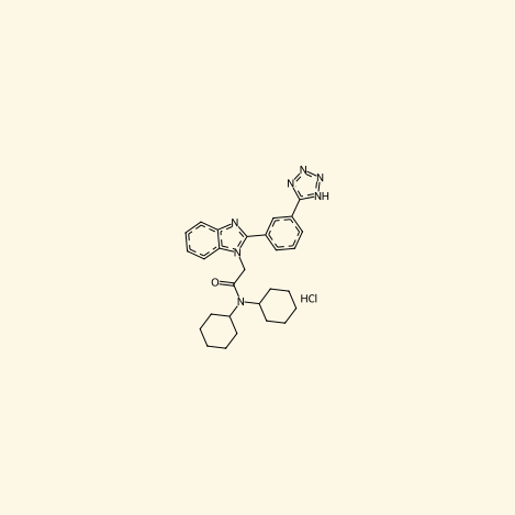 Cl.O=C(Cn1c(-c2cccc(-c3nnn[nH]3)c2)nc2ccccc21)N(C1CCCCC1)C1CCCCC1